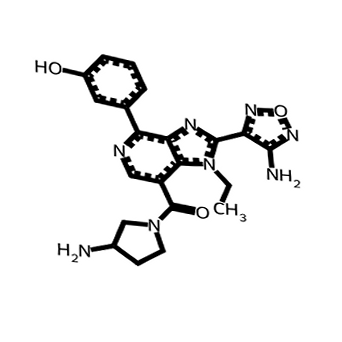 CCn1c(-c2nonc2N)nc2c(-c3cccc(O)c3)ncc(C(=O)N3CCC(N)C3)c21